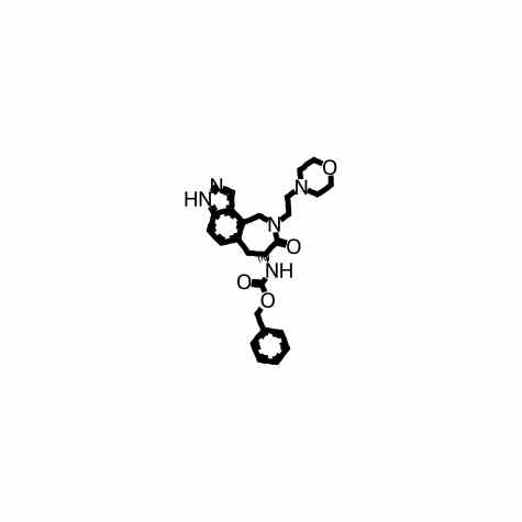 O=C(N[C@@H]1Cc2ccc3[nH]ncc3c2CN(CCN2CCOCC2)C1=O)OCc1ccccc1